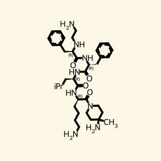 CC(C)C[C@@H](NC(=O)[C@@H](Cc1ccccc1)NC(=O)[C@@H](Cc1ccccc1)NCCN)C(=O)N[C@H](CCCCN)C(=O)N1CCC(C)(N)CC1